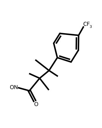 CC(C)(C(=O)N=O)C(C)(C)c1ccc(C(F)(F)F)cc1